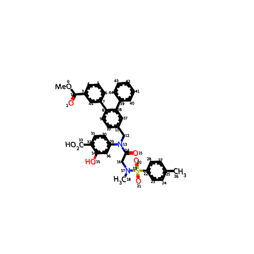 COC(=O)c1cccc(-c2ccc(CN(C(=O)CN(C)S(=O)(=O)c3ccc(C)cc3)c3ccc(C(=O)O)c(O)c3)cc2-c2ccccc2)c1